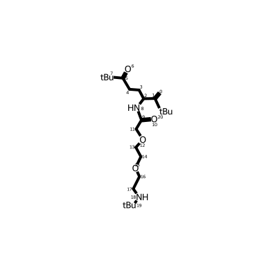 C=C(C(CCC(=O)C(C)(C)C)NC(=O)COCCOCCNC(C)(C)C)C(C)(C)C